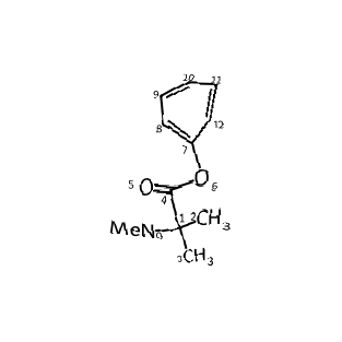 CNC(C)(C)C(=O)Oc1ccccc1